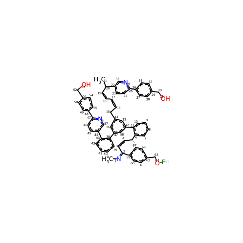 C/N=C(\C=C/Cc1ccccc1-c1cc(C/C=C\C=C/C(C)c2ccc(-c3ccc(CO)cc3)nc2)cc(-c2ccccc2-c2ccc(-c3ccc(CO)cc3)nc2)c1)c1ccc(COF)cc1